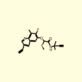 C#Cc1cnc2c(C)c(F)c(OC(SC)C(=O)NC(C)(C)C#C)cc2c1